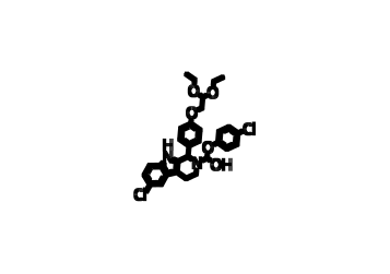 CCOC(COc1ccc(C2c3[nH]c4ccc(Cl)cc4c3CCN2C(O)Oc2ccc(Cl)cc2)cc1)OCC